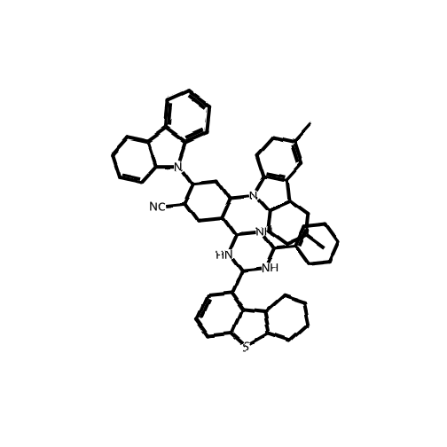 CC1=CC2=C(CC1)N(C1CC(N3c4ccccc4C4CCC=CC43)C(C#N)CC1C1NC(C3=CCCCC3)NC(C3C=CCC4SC5CCCCC5C43)N1)C1CCC(C)CC21